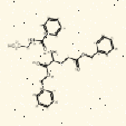 NC(CCC(=O)OCc1ccccc1)C(=O)OCc1ccccc1.O=C(O)CNC(=O)c1ccccc1